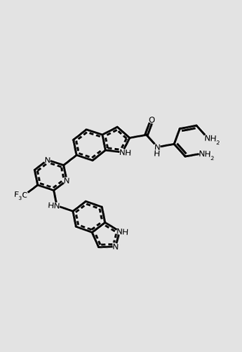 N/C=C\C(=C/N)NC(=O)c1cc2ccc(-c3ncc(C(F)(F)F)c(Nc4ccc5[nH]ncc5c4)n3)cc2[nH]1